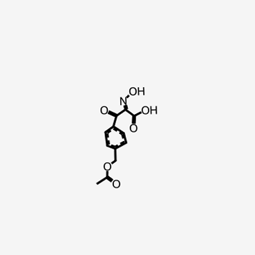 CC(=O)OCc1ccc(C(=O)/C(=N/O)C(=O)O)cc1